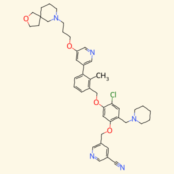 Cc1c(COc2cc(OCc3cncc(C#N)c3)c(CN3CCCCC3)cc2Cl)cccc1-c1cncc(OCCCN2CCCC3(CCOC3)C2)c1